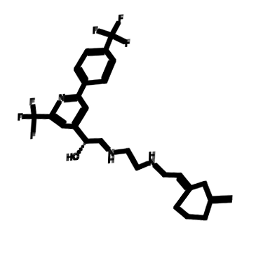 C=C1CCC/C(=C\CNCCNC[C@H](O)c2cc(-c3ccc(C(F)(F)F)cc3)nc(C(F)(F)F)c2)C1